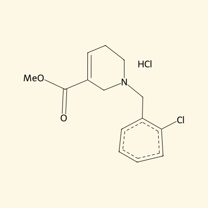 COC(=O)C1=CCCN(Cc2ccccc2Cl)C1.Cl